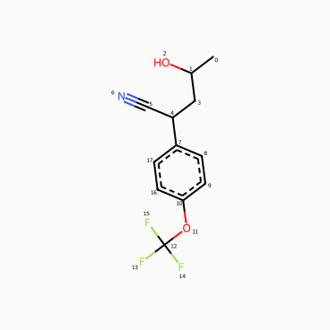 CC(O)CC(C#N)c1ccc(OC(F)(F)F)cc1